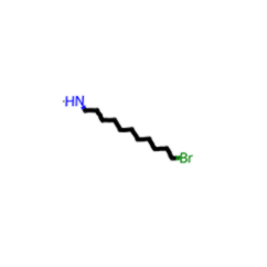 [NH]CCCCCCCCCCCBr